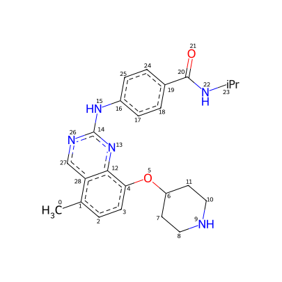 Cc1ccc(OC2CCNCC2)c2nc(Nc3ccc(C(=O)NC(C)C)cc3)ncc12